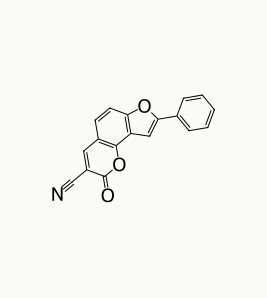 N#Cc1cc2ccc3oc(-c4ccccc4)cc3c2oc1=O